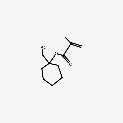 C=C(C)C(=O)OC1(CC(C)=O)CCCCC1